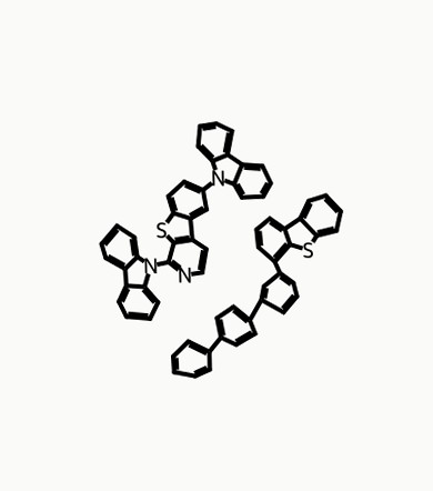 c1ccc(-c2ccc(-c3cccc(-c4cccc5c4sc4ccccc45)c3)cc2)cc1.c1ccc2c(c1)c1ccccc1n2-c1ccc2sc3c(-n4c5ccccc5c5ccccc54)nccc3c2c1